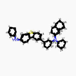 c1ccc(Nc2ccc3c(c2)sc2ccc(-c4cccc(N(c5ccccc5)c5ccc6ccccc6c5)c4)cc23)cc1